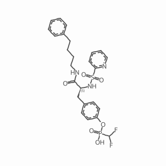 O=C(NCCCCc1ccccc1)[C@H](Cc1ccc(OP(=O)(O)C(F)F)cc1)NS(=O)(=O)c1ccccn1